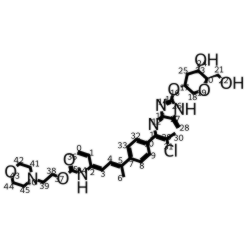 C=C/C(=C\C=C(/C)c1ccc(C(/N=C2/N=C(O[C@H]3CO[C@H](CO)[C@@H](O)C3)NC2=C)=C(/C)Cl)cc1)NC(=O)OCCN1CCOCC1